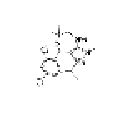 CC(C)c1nn(C)c2c1C(c1ccc(Cl)cc1Cl)SC(C)(C)CN2